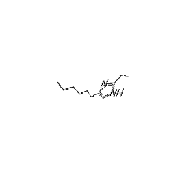 CCCCCCc1c[nH]c(CC)n1